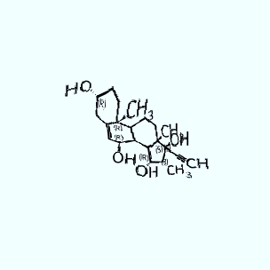 C#C[C@]1(O)[C@H](C)[C@H](O)C2C3C(CC[C@@]21C)[C@@]1(C)CC[C@@H](O)CC1=C[C@@H]3O